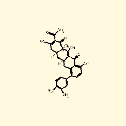 Cc1ccc(-c2ccc(O)c3c2C[C@H]2C[C@H]4CC(O)=C(C(N)=O)C(=O)[C@@]4(O)C(O)=C2C3=O)cc1C